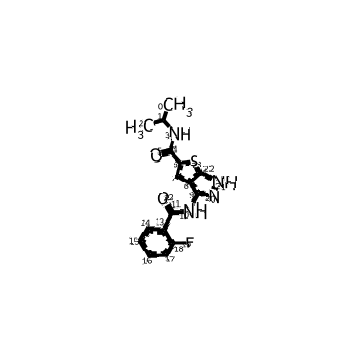 CC(C)NC(=O)c1cc2c(NC(=O)c3ccccc3F)n[nH]c2s1